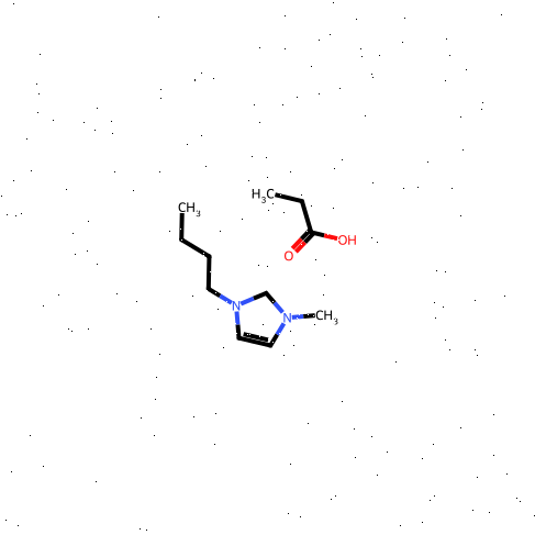 CCC(=O)O.CCCCN1C=CN(C)C1